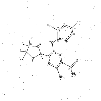 CC1(C)OB(c2cc(N)c(C(N)=O)cc2Oc2ccc(F)cc2F)OC1(C)C